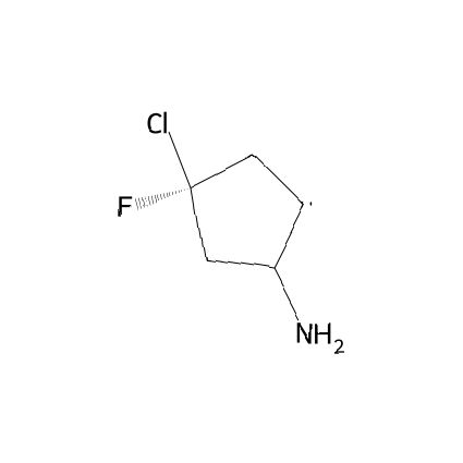 NC1[CH]C[C@](F)(Cl)C1